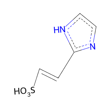 O=S(=O)(O)C=Cc1ncc[nH]1